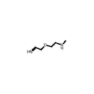 CNCCOCC=N